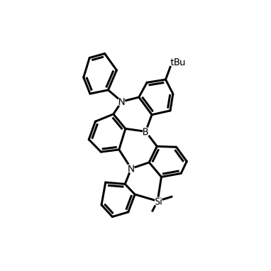 CC(C)(C)c1ccc2c(c1)N(c1ccccc1)c1cccc3c1B2c1cccc2c1N3c1ccccc1[Si]2(C)C